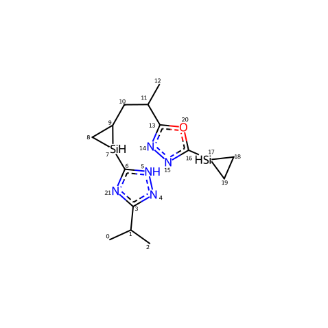 CC(C)c1n[nH]c([SiH]2CC2CC(C)c2nnc([SiH]3CC3)o2)n1